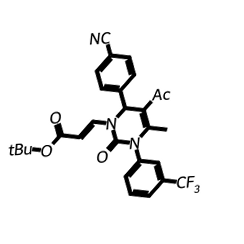 CC(=O)C1=C(C)N(c2cccc(C(F)(F)F)c2)C(=O)N(/C=C/C(=O)OC(C)(C)C)C1c1ccc(C#N)cc1